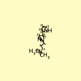 CN(C)CCCn1cc(-c2ccc[nH]2)cn1